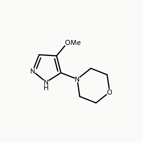 COc1cn[nH]c1N1CCOCC1